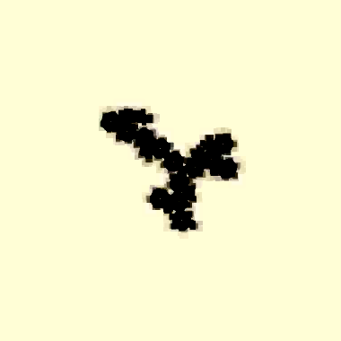 CCCCCCCC1(CCCCCCC)c2ccccc2-c2ccc(-c3ccc4c(c3)C(C)(C)c3cc(-c5ccc(N(c6ccc7c(c6)C(C)(C)c6cc(-c8cccc(C)c8)c8oc9ccccc9c8c6-7)c6ccc7c(c6)C(C)(C)c6c8c(c9c(oc%10ccccc%109)c6-7)-c6ccccc6C8(C)C)cc5)ccc3-4)cc21